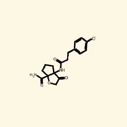 NC(=O)C12CCCC1(NC(=O)[CH]Cc1ccc(Cl)cc1)C(=O)CO2